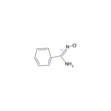 N/C(=N\Cl)c1ccccc1